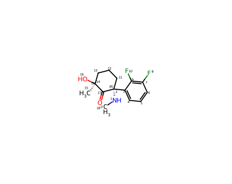 CN[C@@]1(c2cccc(F)c2F)CCC[C@](C)(O)C1=O